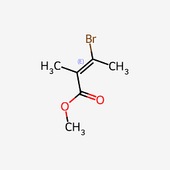 COC(=O)/C(C)=C(\C)Br